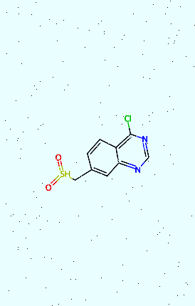 O=[SH](=O)Cc1ccc2c(Cl)ncnc2c1